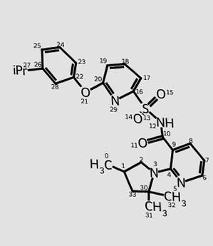 CC1CN(c2ncccc2C(=O)NS(=O)(=O)c2cccc(Oc3cccc(C(C)C)c3)n2)C(C)(C)C1